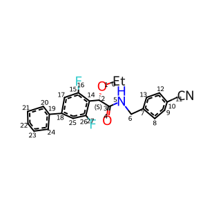 CCO[C@H](C(=O)NCc1ccc(C#N)cc1)c1c(F)cc(-c2ccccc2)cc1F